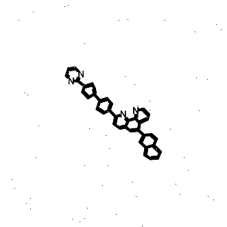 c1cnc(-c2ccc(-c3ccc(-c4ccc5cc(-c6ccc7ccccc7c6)c6cccnc6c5n4)cc3)cc2)nc1